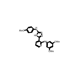 COc1ccc(Nc2nnc(-c3cccnc3Nc3cc(OC)cc(OC)c3)[nH]2)cc1